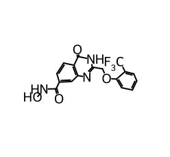 O=C(NO)c1ccc2c(=O)[nH]c(COc3ccccc3C(F)(F)F)nc2c1